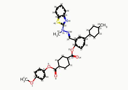 COc1ccc(OC(=O)C2CCC(C(=O)Oc3ccc(C4CCC(C)CC4)cc3/C=N/N(C)c3nc4ccccc4s3)CC2)cc1